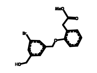 COC(=O)Cc1ccccc1OCc1cc(Br)cc(CO)c1